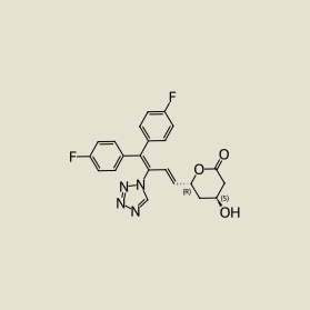 O=C1C[C@@H](O)C[C@H](C=CC(=C(c2ccc(F)cc2)c2ccc(F)cc2)n2cnnn2)O1